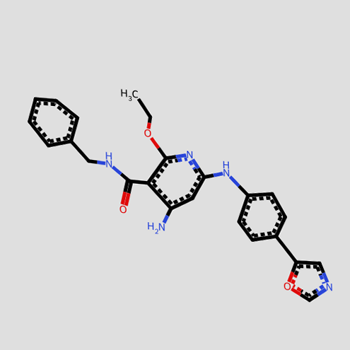 CCOc1nc(Nc2ccc(-c3cnco3)cc2)cc(N)c1C(=O)NCc1ccccc1